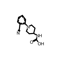 N#Cc1ccccc1N1CCC(NC(=O)O)CC1